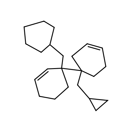 C1=CC(CC2CCCCC2)(C2(CC3CC3)CC=CCC2)CCC1